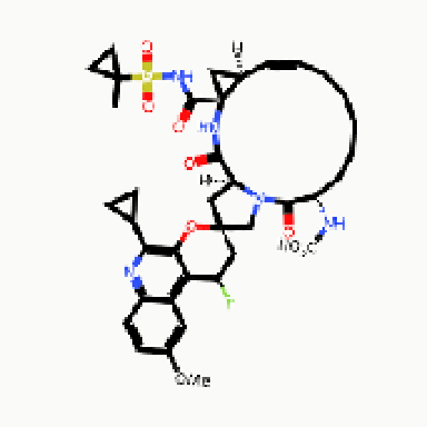 COc1ccc2nc(C3CC3)c3c(c2c1)[C@H](F)C[C@]1(C[C@H]2C(=O)N[C@]4(C(=O)NS(=O)(=O)C5(C)CC5)C[C@H]4/C=C\CCCCC[C@H](NC(=O)O)C(=O)N2C1)O3